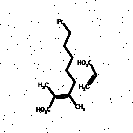 C=CC(=O)O.CC(CCCCCC(C)C)=C(C)C(=O)O